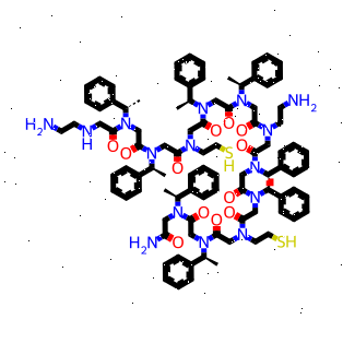 C[C@@H](c1ccccc1)N(CC(N)=O)C(=O)CN(C(=O)CN(CCS)C(=O)CN(C(=O)CN(C(=O)CN(CCN)C(=O)CN(C(=O)CN(C(=O)CN(CCS)C(=O)CN(C(=O)CN(C(=O)CNCCN)[C@@H](C)c1ccccc1)[C@@H](C)c1ccccc1)[C@@H](C)c1ccccc1)[C@@H](C)c1ccccc1)[C@@H](C)c1ccccc1)[C@@H](C)c1ccccc1)[C@@H](C)c1ccccc1